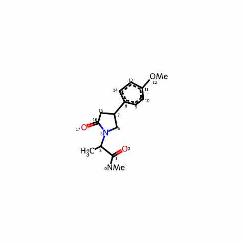 CNC(=O)C(C)N1CC(c2ccc(OC)cc2)CC1=O